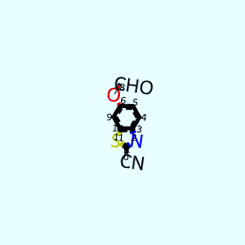 N#Cc1nc2ccc(OC=O)cc2s1